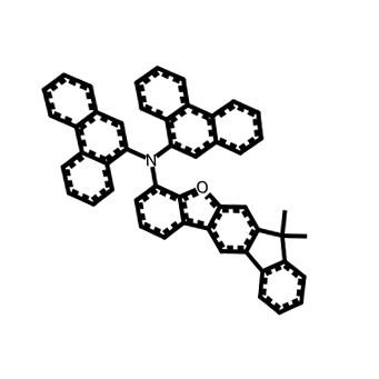 CC1(C)c2ccccc2-c2cc3c(cc21)oc1c(N(c2cc4ccccc4c4ccccc24)c2cc4ccccc4c4ccccc24)cccc13